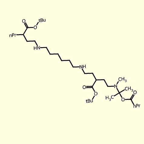 CCCC(=O)OC(C)(C)N(C)CCC(CCNCCCCCCNCCC(CCC)C(=O)OC(C)(C)C)C(=O)OC(C)(C)C